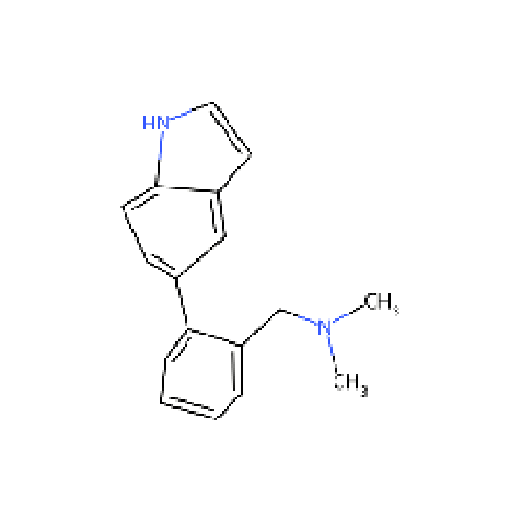 CN(C)Cc1ccccc1-c1ccc2[nH]ccc2c1